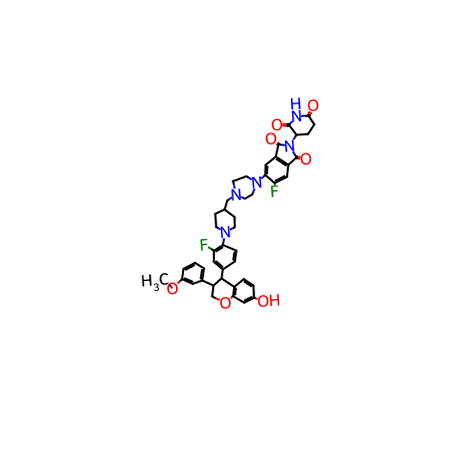 COc1cccc(C2COc3cc(O)ccc3C2c2ccc(N3CCC(CN4CCN(c5cc6c(cc5F)C(=O)N(C5CCC(=O)NC5=O)C6=O)CC4)CC3)c(F)c2)c1